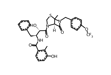 Cc1c(O)cccc1C(=O)N[C@@H](Cc1ccccc1)[C@H](O)C(=O)N1CSC2(C)[C@H]1C(=O)N2Cc1ccc(OC(F)(F)F)cc1